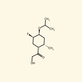 CC(C)O[C@H]1C[C@H](C)N(C(=O)CO)C[C@H]1F